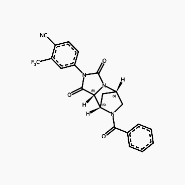 N#Cc1ccc(N2C(=O)[C@H]3[C@@H]4C[C@@H](CN4C(=O)c4ccccc4)N3C2=O)cc1C(F)(F)F